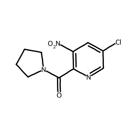 O=C(c1ncc(Cl)cc1[N+](=O)[O-])N1CCCC1